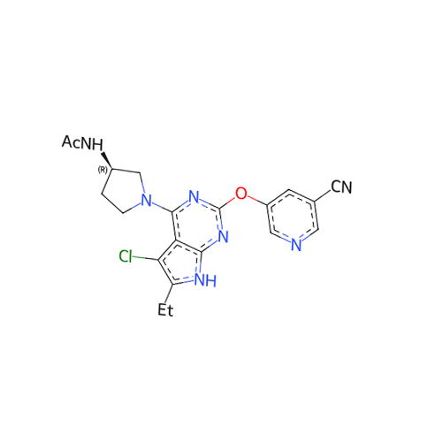 CCc1[nH]c2nc(Oc3cncc(C#N)c3)nc(N3CC[C@@H](NC(C)=O)C3)c2c1Cl